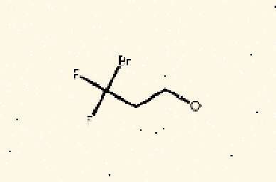 [O]CCC(F)(F)Br